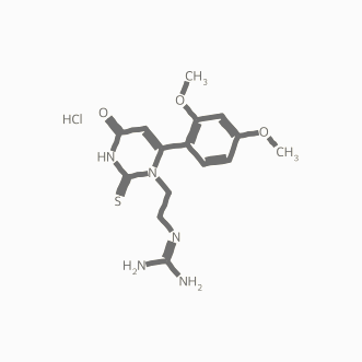 COc1ccc(-c2cc(=O)[nH]c(=S)n2CCN=C(N)N)c(OC)c1.Cl